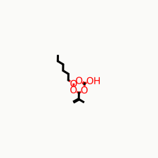 C=C(C)C(OOCCCCCC)OC(=O)O